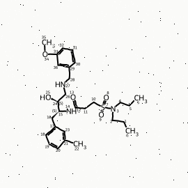 CCCN(CCC)S(=O)(=O)CCC(=O)N[C@@H](Cc1cccc(C)c1)[C@@H](O)CNCc1cccc(OC)c1